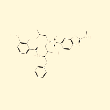 CNc1nc2ccc(S(=O)(=O)N(CC(C)C)CC(O)C(Cc3ccccc3)NC(=O)c3cccc(N)c3C)cc2s1